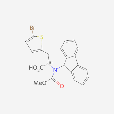 COC(=O)N(C1c2ccccc2-c2ccccc21)[C@@H](Cc1ccc(Br)s1)C(=O)O